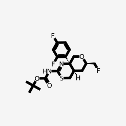 CC(C)(C)OC(=O)NC1=N[C@@]2(c3ccc(F)cc3F)CO[C@@H](CF)C[C@H]2CS1